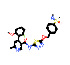 CN=[S@@](C)(=O)c1ccc(COc2nnc(NC(=O)c3cnc(C)cc3-c3c(F)cccc3OC)s2)cc1